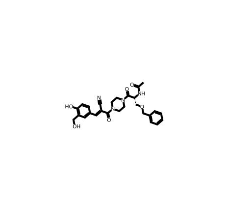 CC(=O)N[C@H](COCc1ccccc1)C(=O)N1CCN(C(=O)C(C#N)=Cc2ccc(O)c(CO)c2)CC1